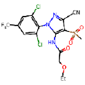 CCOCC(=O)Nc1c(S(C)(=O)=O)c(C#N)nn1-c1c(Cl)cc(C(F)(F)F)cc1Cl